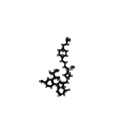 Cc1cncc2c(-c3ccc(F)cc3C(=O)N(C)C(C)C)cc(CC3CN([C@H](CCCN4CCN(CCO)CC4)C(C)C)C3)n12